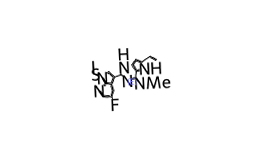 C=Cc1ccc(/C(=N\C(=N)c2cn(SI)c3ncc(F)cc23)NC)[nH]1